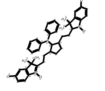 CCN1c2ccc(Cl)cc2C(C)(C)C1CCC1CCC(CCC2=[N+](CC)c3ccc(Cl)cc3C2(C)C)C1N(c1ccccc1)c1ccccc1